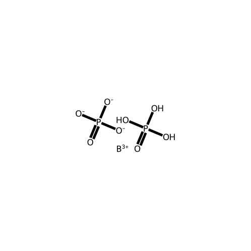 O=P(O)(O)O.O=P([O-])([O-])[O-].[B+3]